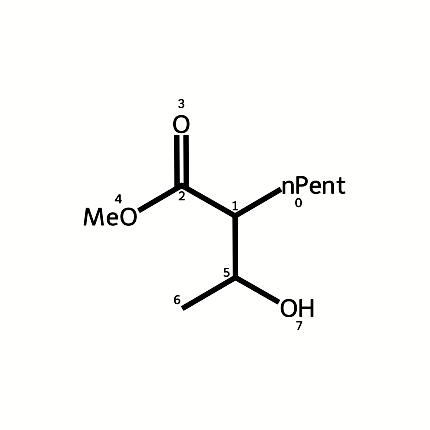 CC[CH]CCC(C(=O)OC)C(C)O